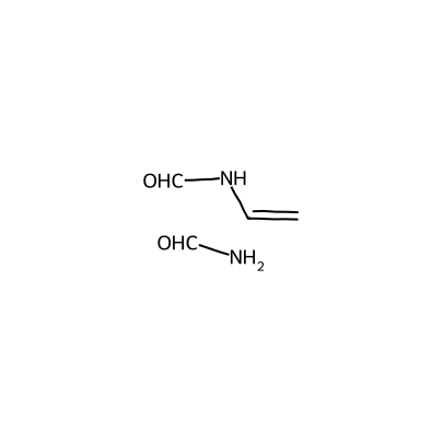 C=CNC=O.NC=O